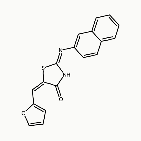 O=C1N/C(=N\c2ccc3ccccc3c2)S/C1=C/c1ccco1